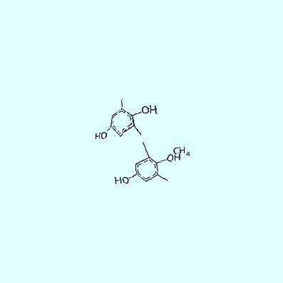 C.Cc1cc(O)cc(C)c1O.Cc1cc(O)cc(C)c1O